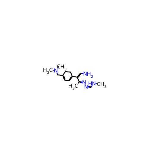 CN\C=N/N=C(C)/C(=C\N)C1=CC=C(CN(C)C)CC1